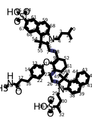 CC(C)CC[N+]1=C(/C=C/C2=C(Oc3ccc(CCC(=O)NS)cc3)C(=C/C=C3/N(CCC(C)S(=O)(=O)O)c4ccc5ccccc5c4C3(C)C)/CCC2)C(C)(C)c2c1ccc1cc(S(=O)(=O)O)ccc21